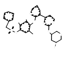 Cc1cc(NS(=O)(=O)Cc2ccccc2)c(F)c(F)c1Oc1ncccc1-c1ccnc(NC2CNC[C@@H](F)C2)n1